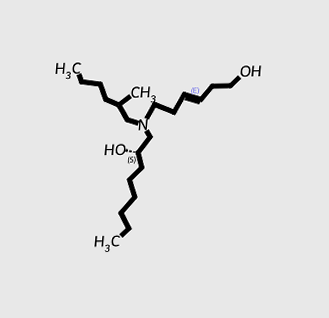 CCCCCC[C@H](O)CN(CC/C=C/CCO)CC(C)CCCC